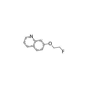 FCCOc1[c]c2ncccc2cc1